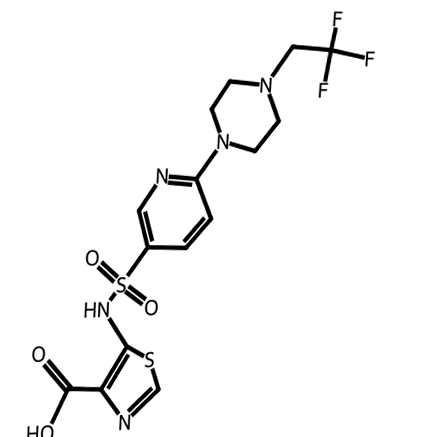 O=C(O)c1ncsc1NS(=O)(=O)c1ccc(N2CCN(CC(F)(F)F)CC2)nc1